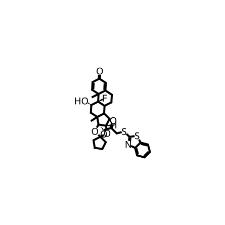 CC12C[C@H](O)[C@@]3(F)C(CCC4=CC(=O)C=CC43C)C1C[C@@H]1OC3(CCCC3)O[C@]12C(=O)C(=O)CSc1nc2ccccc2s1